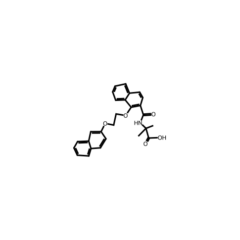 CC(C)(NC(=O)c1ccc2ccccc2c1OCCOc1ccc2ccccc2c1)C(=O)O